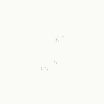 CN1CCC(C2CCN(CC3CCNC3)CC2)CC1